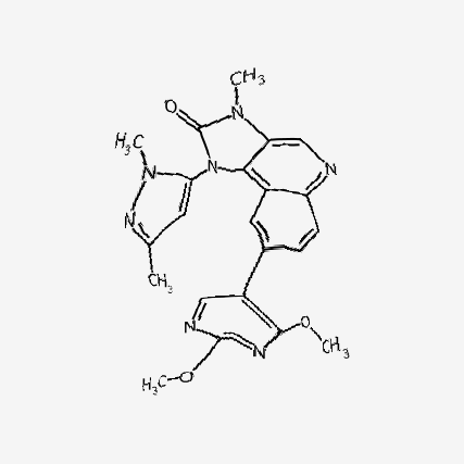 COc1ncc(-c2ccc3ncc4c(c3c2)n(-c2cc(C)nn2C)c(=O)n4C)c(OC)n1